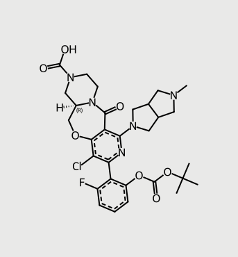 CN1CC2CN(c3nc(-c4c(F)cccc4OC(=O)OC(C)(C)C)c(Cl)c4c3C(=O)N3CCN(C(=O)O)C[C@@H]3CO4)CC2C1